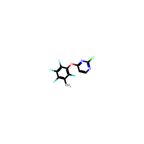 Cc1c(F)c(F)c(F)c(Oc2ccnc(Cl)n2)c1F